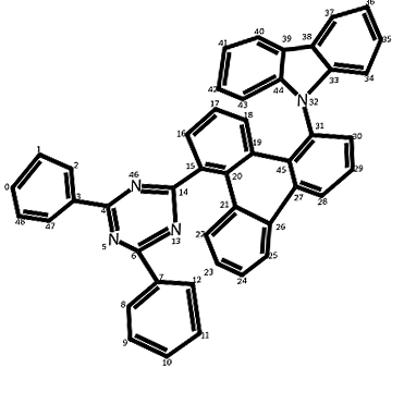 c1ccc(-c2nc(-c3ccccc3)nc(-c3cccc4c3c3ccccc3c3cccc(-n5c6ccccc6c6ccccc65)c34)n2)cc1